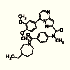 CCC1CCCN(C(=O)c2ccc(N(C)C(=O)c3cc4nccc(-c5ccc(OC)c(OC)c5)n4n3)cc2)CC1